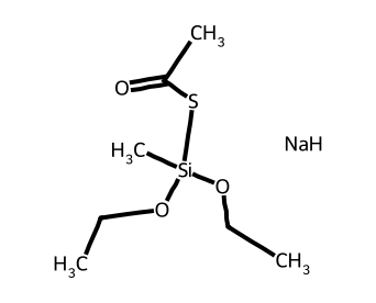 CCO[Si](C)(OCC)SC(C)=O.[NaH]